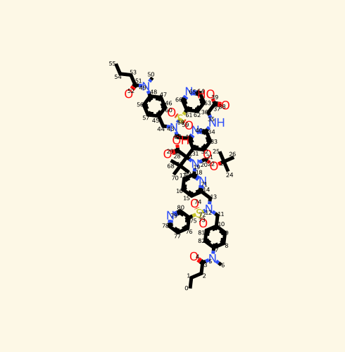 CCCC(=O)N(C)c1ccc(CN(Cc2cccc(N(C(=O)OC(C)(C)C)C(C(=O)O)(c3ccc(NCC(=O)O)nc3CN(Cc3ccc(N(C)C(=O)CCC)cc3)S(=O)(=O)c3cccnc3)C(C)(C)C)n2)S(=O)(=O)c2cccnc2)cc1